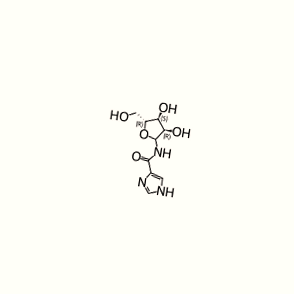 O=C(NC1O[C@H](CO)[C@@H](O)[C@H]1O)c1c[nH]cn1